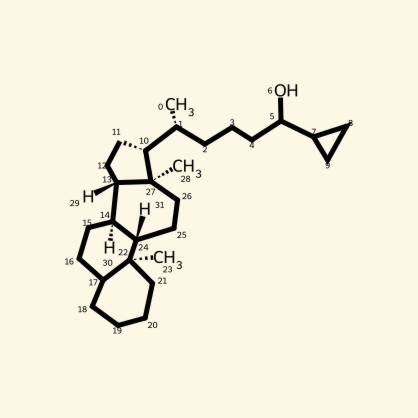 C[C@H](CCCC(O)C1CC1)[C@H]1CC[C@H]2[C@@H]3CCC4CCCC[C@]4(C)[C@H]3CC[C@]12C